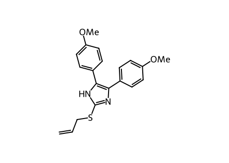 C=CCSc1nc(-c2ccc(OC)cc2)c(-c2ccc(OC)cc2)[nH]1